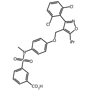 CC(C)c1onc(-c2c(Cl)cccc2Cl)c1COc1ccc(N(C)S(=O)(=O)c2cccc(C(=O)O)c2)cc1